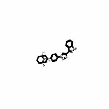 CN1[C@@H]2CCC[C@H]1C[C@H](c1ccc(-n3cc(-c4n[nH]c5ccccc45)nn3)cc1)C2